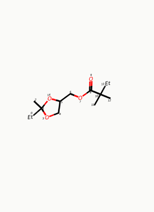 CCC1(C)OCC(COC(=O)C(C)(C)CC)O1